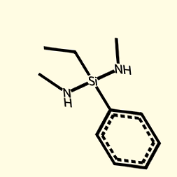 CC[Si](NC)(NC)c1ccccc1